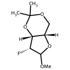 COC1O[C@H]2COC(C)(C)O[C@H]2[C@H]1F